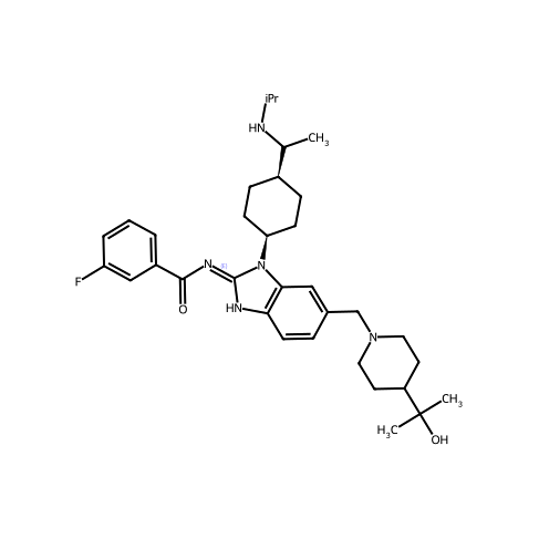 CC(C)NC(C)[C@H]1CC[C@@H](n2/c(=N/C(=O)c3cccc(F)c3)[nH]c3ccc(CN4CCC(C(C)(C)O)CC4)cc32)CC1